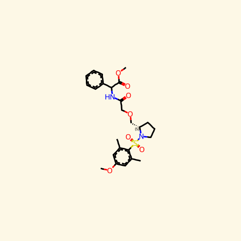 COC(=O)C(NC(=O)COC[C@@H]1CCCN1S(=O)(=O)c1c(C)cc(OC)cc1C)c1ccccc1